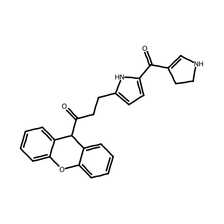 O=C(C1=CNCC1)c1ccc(CCC(=O)C2c3ccccc3Oc3ccccc32)[nH]1